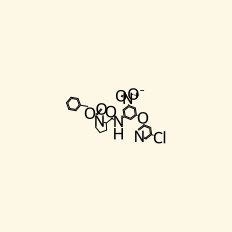 O=C(Nc1cc(Oc2cncc(Cl)c2)cc([N+](=O)[O-])c1)C1CCCN1C(=O)OCc1ccccc1